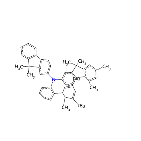 Cc1cc(C)c2c(c1)C(C)(C)c1cc(N(c3ccc4c(c3)C(C)(C)c3ccccc3-4)c3ccccc3C3C=C(C(C)(C)C)C=C(C(C)(C)C)C3C)ccc1-2